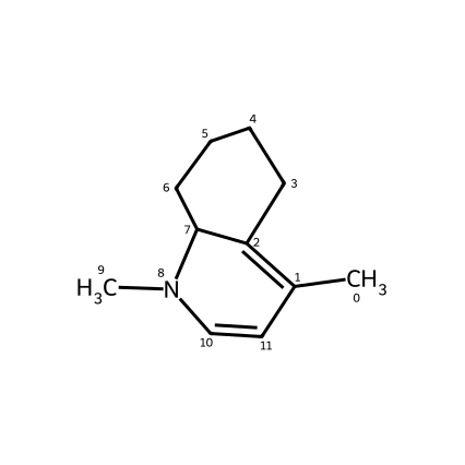 CC1=C2CCCCC2N(C)C=C1